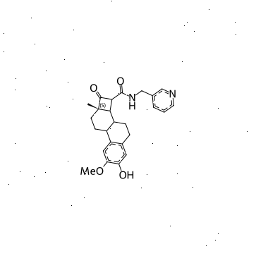 COc1cc2c(cc1O)CCC1C2CC[C@]2(C)C(=O)C(C(=O)NCc3cccnc3)C12